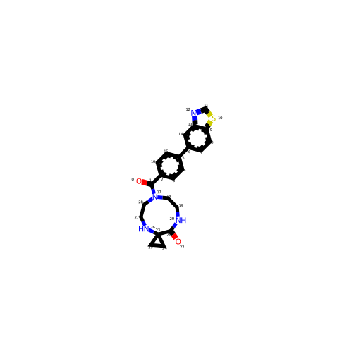 O=C(c1ccc(-c2ccc3scnc3c2)cc1)N1CCNC(=O)C2(CC2)NCC1